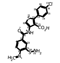 C=Nc1ccc(C(=O)Nc2csc(-c3ccc(Cl)cc3)c2C(=O)O)cc1SN